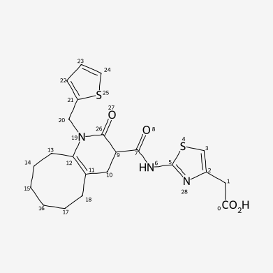 O=C(O)Cc1csc(NC(=O)C2CC3=C(CCCCCC3)N(Cc3cccs3)C2=O)n1